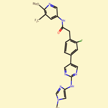 COc1ncc(NC(=O)Cc2ccc(-c3cnc(Nc4cn(C)cn4)nc3)cc2F)cc1C(F)(F)F